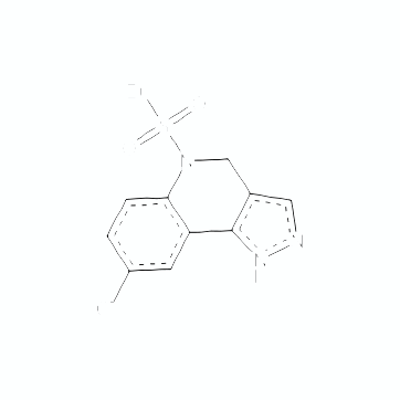 CCS(=O)(=O)N1Cc2cn[nH]c2-c2cc(Cl)ccc21